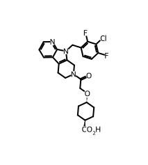 O=C(CO[C@H]1CC[C@H](C(=O)O)CC1)N1CCc2c(n(Cc3ccc(F)c(Cl)c3F)c3ncccc23)C1